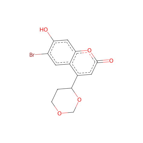 O=c1cc(C2CCOCO2)c2cc(Br)c(O)cc2o1